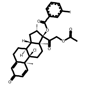 CC(=O)OCC(=O)[C@@]1(OC(=O)c2cccc(I)c2)[C@@H](C)C[C@H]2[C@@H]3CCC4=CC(=O)C=C[C@]4(C)[C@@]3(Cl)CC[C@@]21C